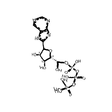 O=P(O)(O)OP(=O)(O)OP(=O)(O)OC(O)[C@H]1OC(c2nc3ncncc3[nH]2)[C@H](O)[C@@H]1O